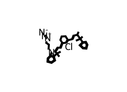 CC(/C=C/C1=C(Cl)C(=C/C=C2/N(CCCN=[N+]=[N-])c3ccccc3C2(C)C)/CCC1)C(C)(C)c1ccccc1